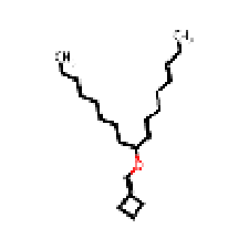 CCCCCCCCC(CCCCCCCC)OC=C1CCC1